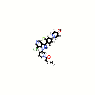 C=CC(=O)N1CCCC(n2nc(-c3ccc(-n4ccc(=O)cc4)cc3F)c3cncc(Cl)c32)C1